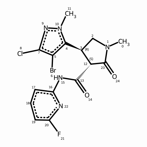 CN1C[C@H](c2c(Br)c(Cl)nn2C)[C@@H](C(=O)Nc2cccc(F)n2)C1=O